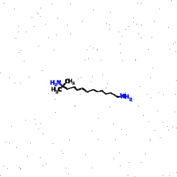 CC(C)(N)CCCCCCCCCCCN